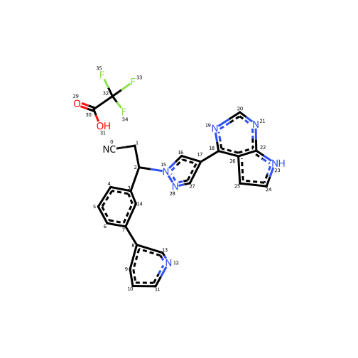 N#CCC(c1cccc(-c2cccnc2)c1)n1cc(-c2ncnc3[nH]ccc23)cn1.O=C(O)C(F)(F)F